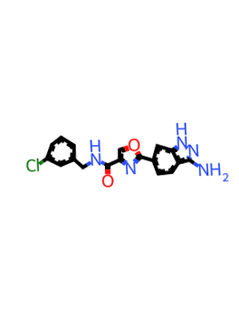 Nc1n[nH]c2cc(-c3nc(C(=O)NCc4cccc(Cl)c4)co3)ccc12